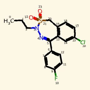 CCCN1N=C(c2ccc(F)cc2)c2cc(Cl)ccc2CS1(=O)=O